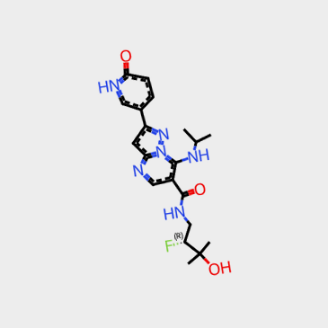 CC(C)Nc1c(C(=O)NC[C@@H](F)C(C)(C)O)cnc2cc(-c3ccc(=O)[nH]c3)nn12